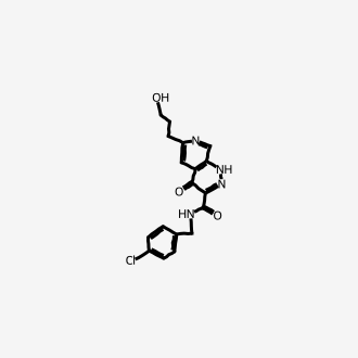 O=C(NCc1ccc(Cl)cc1)c1n[nH]c2cnc(CCCO)cc2c1=O